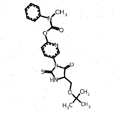 CN(C(=O)Oc1ccc(N2C(=O)C(COC(C)(C)C)NC2=S)cn1)c1ccccc1